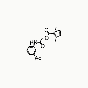 CC(=O)c1cccc(NC(=O)COC(=O)c2sccc2C)c1